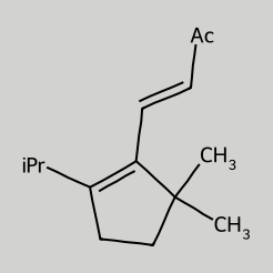 CC(=O)C=CC1=C(C(C)C)CCC1(C)C